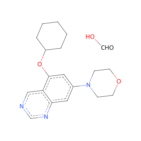 O=CO.c1ncc2c(OC3CCCCC3)cc(N3CCOCC3)cc2n1